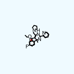 CCOC(=O)C1=C(CN2CCCC2)NC(c2ccccn2)=NC1(C)c1ccc(F)cc1